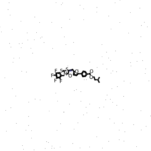 CC(C)CCOC(=O)c1ccc(-c2ccc(/C=C3/SC(=S)N(Cc4cc(F)c(F)c(F)c4F)C3=O)o2)cc1